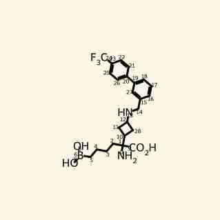 NC(CCCCB(O)O)(C(=O)O)C1CC(NCc2cccc(-c3ccc(C(F)(F)F)cc3)c2)C1